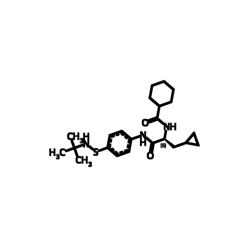 CC(C)(C)NSc1ccc(NC(=O)[C@H](CC2CC2)NC(=O)C2CCCCC2)cc1